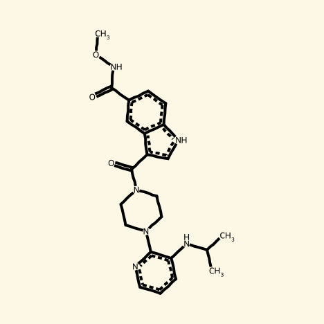 CONC(=O)c1ccc2[nH]cc(C(=O)N3CCN(c4ncccc4NC(C)C)CC3)c2c1